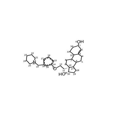 OC1C=C2CCC3C(CC[C@@]4(CCOc5cccc(CN6CCCCC6)c5)C3CC[C@@H]4O)C2CC1